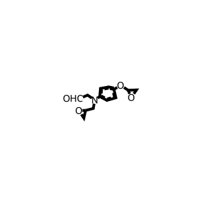 O=CCN(CC1CO1)c1ccc(OC2CO2)cc1